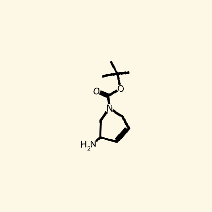 CC(C)(C)OC(=O)N1CC=CC(N)C1